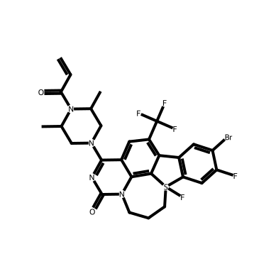 C=CC(=O)N1C(C)CN(c2nc(=O)n3c4c5c(c(C(F)(F)F)cc24)-c2cc(Br)c(F)cc2S5(F)CCC3)CC1C